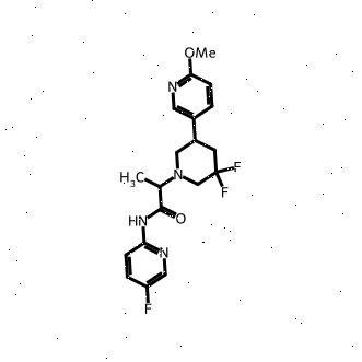 COc1ccc(C2CN(C(C)C(=O)Nc3ccc(F)cn3)CC(F)(F)C2)cn1